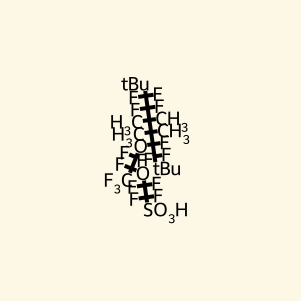 CC(C)(C)C(F)(F)C(F)(F)C(C)(C)C(C)(C)C(F)(OC(F)(F)C(F)(OC(F)(F)C(F)(F)S(=O)(=O)O)C(F)(F)F)C(F)(F)C(C)(C)C